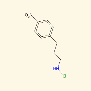 O=[N+]([O-])c1ccc(CCCNCl)cc1